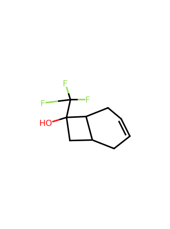 OC1(C(F)(F)F)CC2CC=CCC21